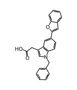 O=C(O)Cc1cn(Cc2ccccc2)c2ccc(-c3cc4ccccc4o3)cc12